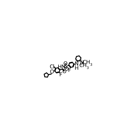 CN(C)[C@H]1CCCC[C@@H]1Nc1ccc(S(=O)(=O)NC(=O)c2cc(Cl)c(OCC3CCCC3)cc2F)c(F)c1